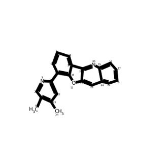 Cc1cnc(-c2cccc3c2oc2cc4ccccc4nc23)cc1C